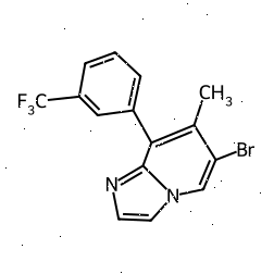 Cc1c(Br)cn2ccnc2c1-c1cccc(C(F)(F)F)c1